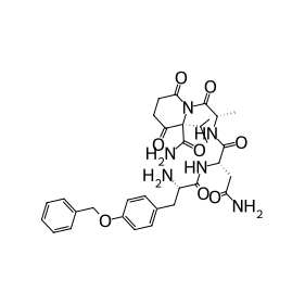 CC(C)[C@]1(C(N)=O)C(=O)CCC(=O)N1C(=O)[C@H](C)NC(=O)[C@H](CC(N)=O)NC(=O)[C@@H](N)Cc1ccc(OCc2ccccc2)cc1